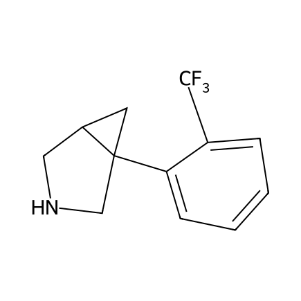 FC(F)(F)c1ccccc1C12CNCC1C2